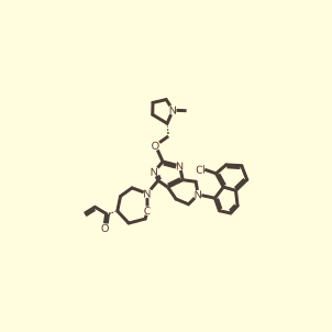 C=CC(=O)[C@H]1CCCN(c2nc(OC[C@@H]3CCCN3C)nc3c2CCN(c2cccc4cccc(Cl)c24)C3)CC1